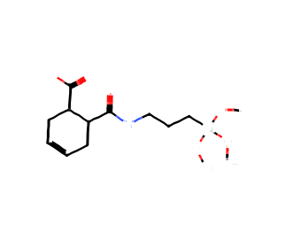 CO[Si](CCCNC(=O)C1CC=CCC1C(=O)O)(OC)OC